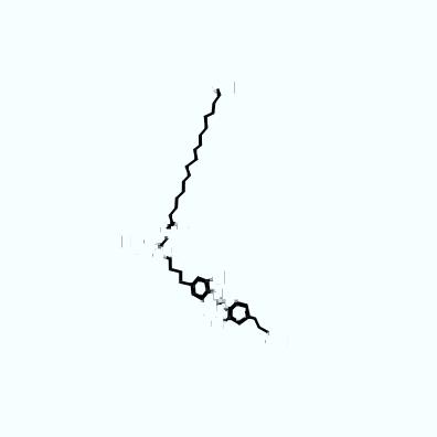 [CH2][C@H](COC(=O)CCCCCCCCCCCCCCCCC)OC(=O)CCCc1cc(Cl)c(N=Nc2c(Cl)cc(CCCC)cc2Cl)c(Cl)c1